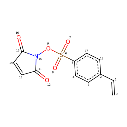 C=Cc1ccc(S(=O)(=O)ON2C(=O)C=CC2=O)cc1